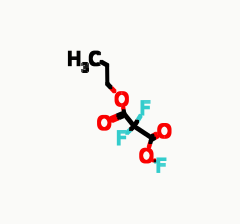 CCCOC(=O)C(F)(F)C(=O)OF